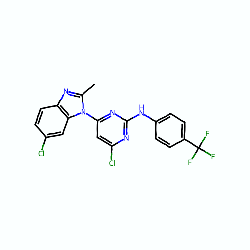 Cc1nc2ccc(Cl)cc2n1-c1cc(Cl)nc(Nc2ccc(C(F)(F)F)cc2)n1